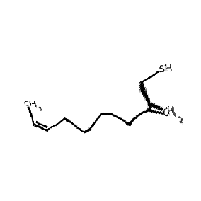 C=C(CS)CCCC/C=C\C